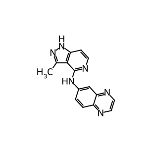 Cc1n[nH]c2ccnc(Nc3ccc4nccnc4c3)c12